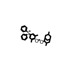 Cc1cc(S(C)(c2ccccc2)c2ccccc2)cc(C)c1OCOC1C(C)CC2CC(C)CC1C2